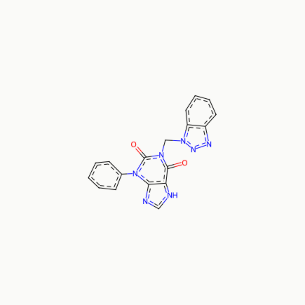 O=c1c2[nH]cnc2n(-c2ccccc2)c(=O)n1Cn1nnc2ccccc21